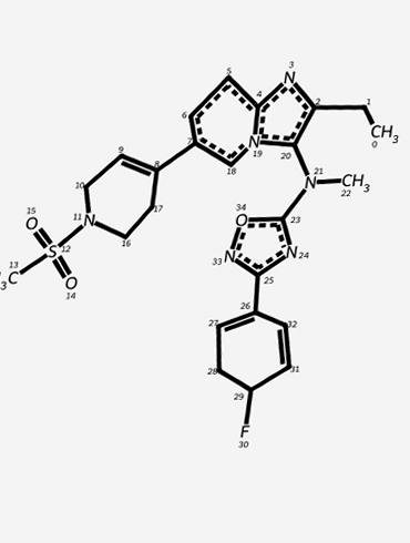 CCc1nc2ccc(C3=CCN(S(C)(=O)=O)CC3)cn2c1N(C)c1nc(C2=CCC(F)C=C2)no1